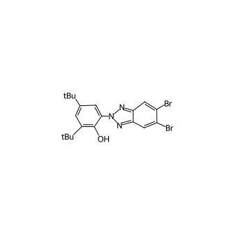 CC(C)(C)c1cc(-n2nc3cc(Br)c(Br)cc3n2)c(O)c(C(C)(C)C)c1